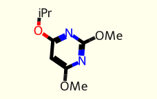 COc1cc(OC(C)C)nc(OC)n1